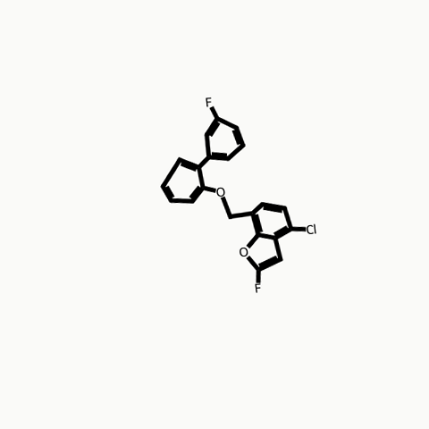 Fc1cccc(-c2ccccc2OCc2ccc(Cl)c3cc(F)oc23)c1